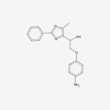 Cc1oc(-c2ccccc2)nc1C(O)COc1ccc(N)cc1